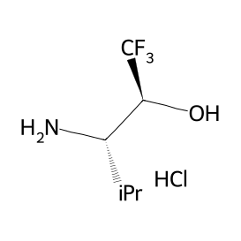 CC(C)[C@H](N)[C@H](O)C(F)(F)F.Cl